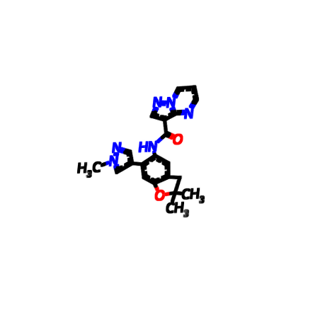 Cn1cc(-c2cc3c(cc2NC(=O)c2cnn4cccnc24)CC(C)(C)O3)cn1